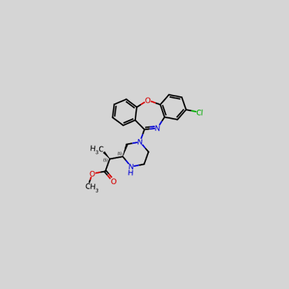 COC(=O)[C@@H](C)[C@H]1CN(C2=Nc3cc(Cl)ccc3Oc3ccccc32)CCN1